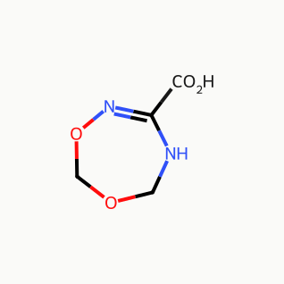 O=C(O)C1=NOCOCN1